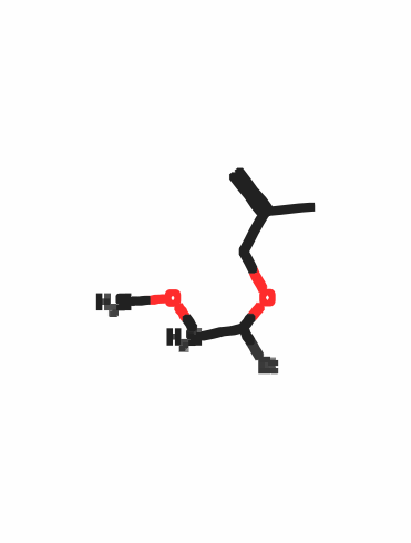 C=C(C)COC(CC)[SiH2]O[SiH3]